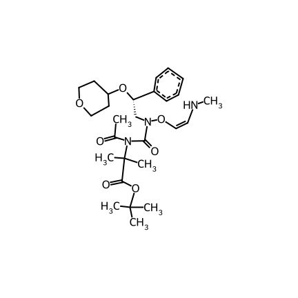 CN/C=C\ON(C[C@H](OC1CCOCC1)c1ccccc1)C(=O)N(C(C)=O)C(C)(C)C(=O)OC(C)(C)C